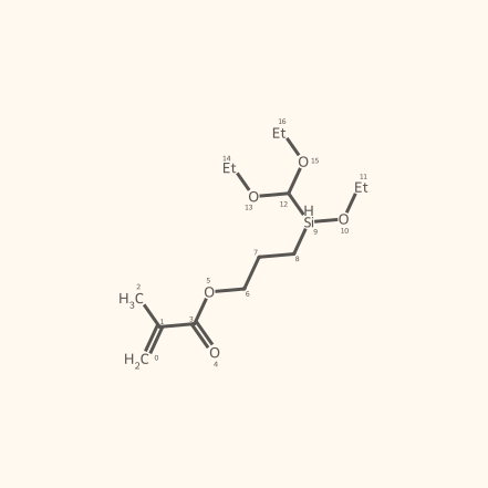 C=C(C)C(=O)OCCC[SiH](OCC)C(OCC)OCC